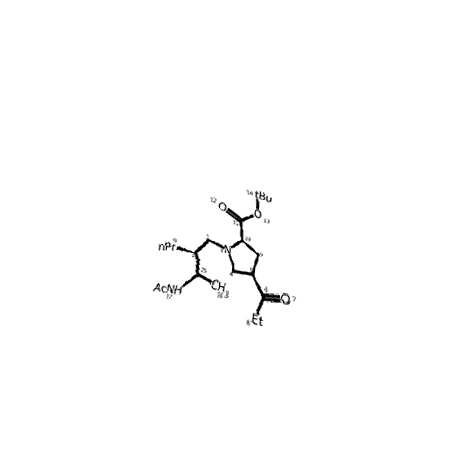 CCC[C@@H](CN1CC(C(=O)CC)CC1C(=O)OC(C)(C)C)C(C)NC(C)=O